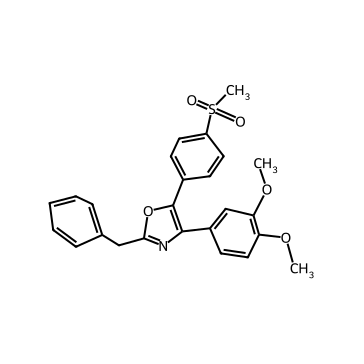 COc1ccc(-c2nc(Cc3ccccc3)oc2-c2ccc(S(C)(=O)=O)cc2)cc1OC